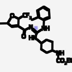 CCOC(=O)NC1CCC(N/C(=N\C(=O)C2=CC(C)OC2C(F)(F)F)Nc2ccccc2C)CC1